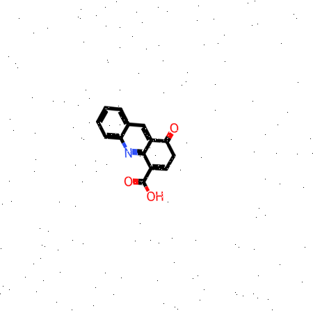 O=C(O)C1=CCC(=O)c2cc3ccccc3nc21